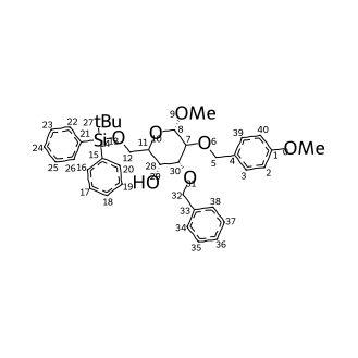 COc1ccc(COC2[C@@H](OC)OC(CO[Si](c3ccccc3)(c3ccccc3)C(C)(C)C)[C@@H](O)[C@H]2OCc2ccccc2)cc1